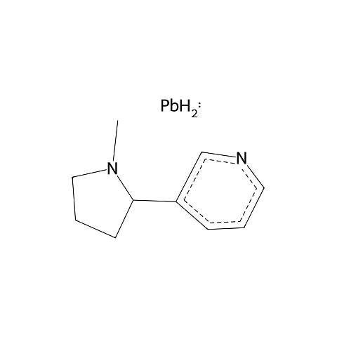 CN1CCCC1c1cccnc1.[PbH2]